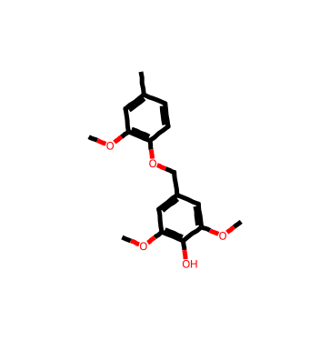 COc1cc(C)ccc1OCc1cc(OC)c(O)c(OC)c1